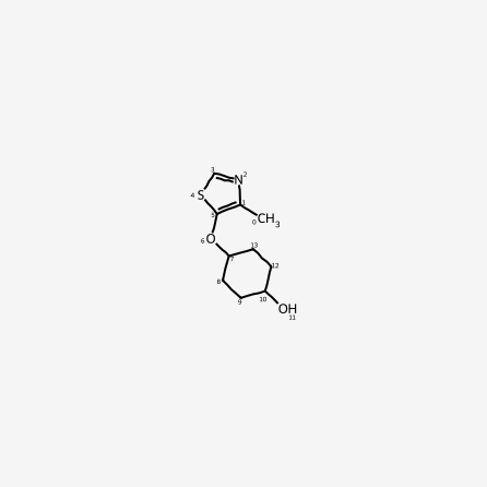 Cc1ncsc1OC1CCC(O)CC1